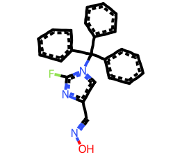 ON=Cc1cn(C(c2ccccc2)(c2ccccc2)c2ccccc2)c(F)n1